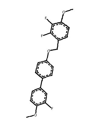 COc1ccc(-c2ccc(OCc3ccc(OC)c(F)c3F)cc2)cc1F